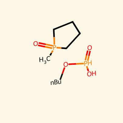 CCCCO[PH](=O)O.CP1(=O)CCCC1